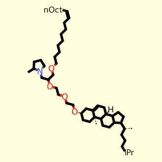 CCCCCCCC/C=C\CCCCCCCCOCC(CN1CCCC1C)OCCOCCO[C@H]1CC[C@@]2(C)C(=CC[C@H]3C4CCC([C@H](C)CCCC(C)C)C4CCC32)C1